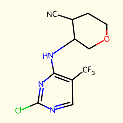 N#CC1CCOCC1Nc1nc(Cl)ncc1C(F)(F)F